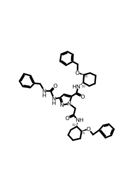 O=C(Cn1nc(NC(=O)NCc2ccccc2)cc1C(=O)N[C@H]1CCCC[C@@H]1OCc1ccccc1)N[C@H]1CCCC[C@@H]1OCc1ccccc1